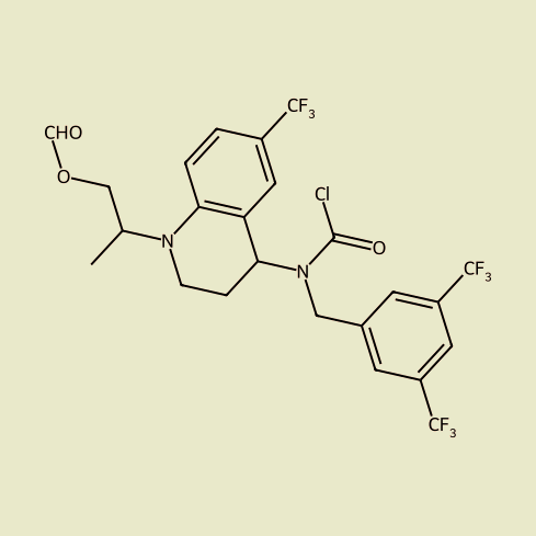 CC(COC=O)N1CCC(N(Cc2cc(C(F)(F)F)cc(C(F)(F)F)c2)C(=O)Cl)c2cc(C(F)(F)F)ccc21